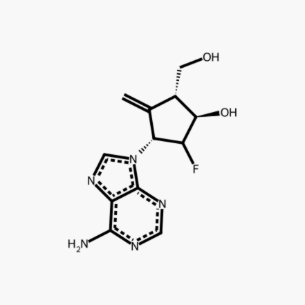 C=C1[C@@H](n2cnc3c(N)ncnc32)C(F)[C@H](O)[C@H]1CO